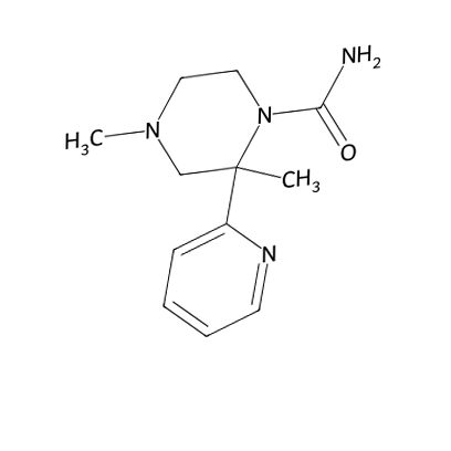 CN1CCN(C(N)=O)C(C)(c2ccccn2)C1